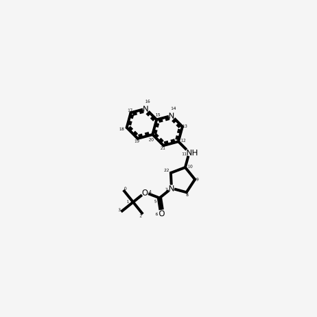 CC(C)(C)OC(=O)N1CCC(Nc2cnc3ncccc3c2)C1